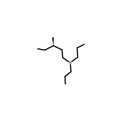 CCCN(CCC)CC[C@H](C)CC